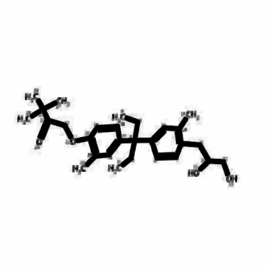 CCC(CC)(c1ccc(CC(O)CO)c(C)c1)c1ccc(OCC(=O)C(C)(C)C)c(C)c1